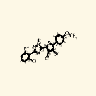 Cn1nc(-c2c(F)cccc2Cl)nc1-c1sc(-c2ccc(OC(F)(F)F)cc2)c(Br)c1Cl